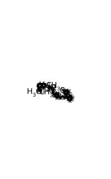 CC(Sc1ccc2cccc(N(C)C)c2c1)C(=O)OCCN1CCN(CCCN2c3ccccc3Sc3ccc(C(F)(F)F)cc32)CC1